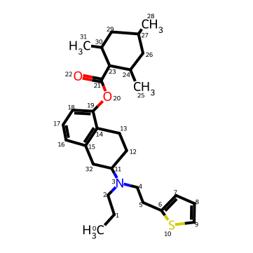 CCCN(CCc1cccs1)C1CCc2c(cccc2OC(=O)C2C(C)CC(C)CC2C)C1